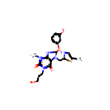 CC1=CNC(CN2c3c(n(C)c(=O)n(CCCO)c3=O)NC2Oc2cccc(OI)c2)S1